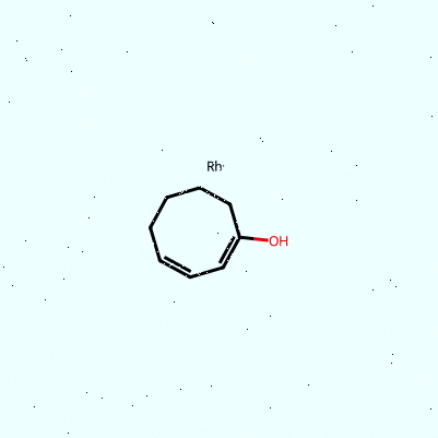 OC1=CC=CCCCC1.[Rh]